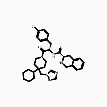 O=C(N[C@H](Cc1ccc(Cl)cc1)C(=O)N1CCC(CN2C=NCN2)(C2CCCCC2)CC1)[C@H]1Cc2ccccc2CN1